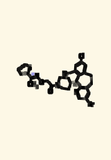 C/C(=N\OCC(=O)N1CCC([C@H]2c3ncc(Br)cc3CCc3cc(Cl)cc(Br)c32)CC1)c1cccs1